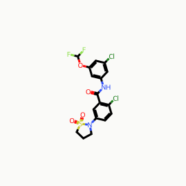 O=C(Nc1cc(Cl)cc(OC(F)F)c1)c1cc(N2CCCS2(=O)=O)ccc1Cl